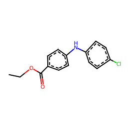 CCOC(=O)c1c[c]c(Nc2ccc(Cl)cc2)cc1